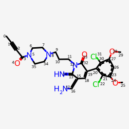 CC#CC(=O)N1CCN(CCCN2C(=N)/C(=C\N)C=C(c3c(Cl)c(OC)cc(OC)c3Cl)C2=O)CC1